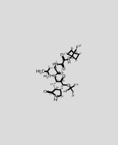 CC(C)C[C@H](NC(=O)C(=O)NC12CCC1(F)CC2)C(=O)N[C@@H](C[C@@H]1CCNC1=O)C(=O)COC(F)(F)F